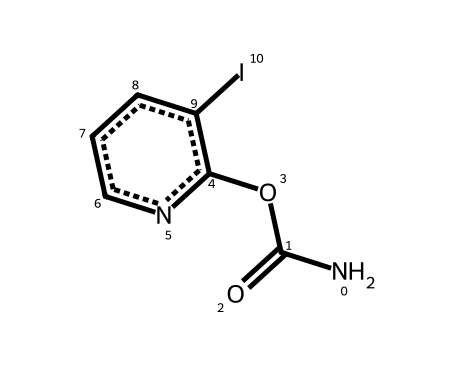 NC(=O)Oc1ncccc1I